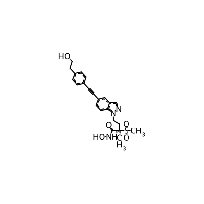 C[C@@](CCn1ncc2cc(C#Cc3ccc(CCO)cc3)ccc21)(C(=O)NO)S(C)(=O)=O